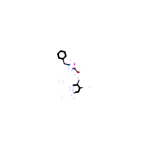 Cc1cc(N)nc(C)c1CNC(=O)c1nc(Cc2ccccc2)no1